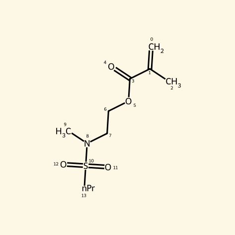 C=C(C)C(=O)OCCN(C)S(=O)(=O)CCC